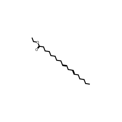 CCCCC/C=C/C/C=C/CCCCCCCC(=O)OCC